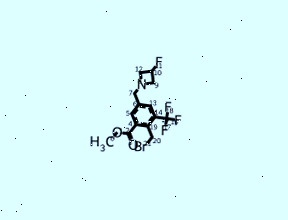 COC(=O)c1cc(CN2CC(F)C2)cc(C(F)(F)F)c1CBr